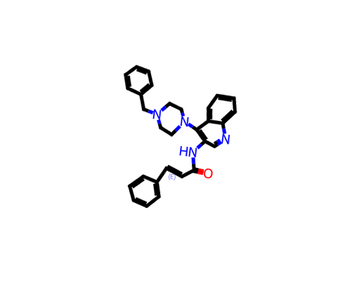 O=C(/C=C/c1ccccc1)Nc1cnc2ccccc2c1N1CCN(Cc2ccccc2)CC1